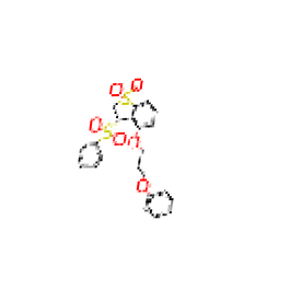 O=S1(=O)CC(S(=O)(=O)c2ccccc2)c2c(OCCCOc3ccccc3)cccc21